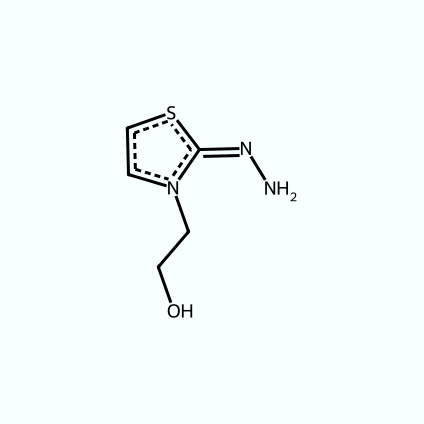 NN=c1sccn1CCO